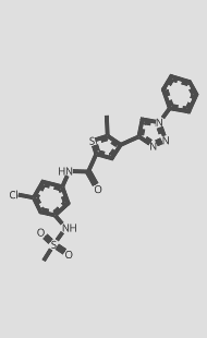 Cc1sc(C(=O)Nc2cc(Cl)cc(NS(C)(=O)=O)c2)cc1-c1cn(-c2ccccc2)nn1